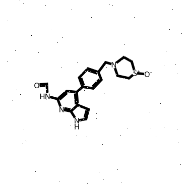 O=CNc1cc(-c2ccc(CN3CC[S+]([O-])CC3)cc2)c2cc[nH]c2n1